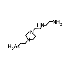 NCCNCCN1CCN(CC[AsH2])CC1